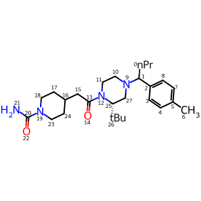 CCCC(c1ccc(C)cc1)N1CCN(C(=O)CC2CCN(C(N)=O)CC2)[C@@H](C(C)(C)C)C1